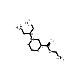 CCOC(=O)C1CCCN(C(CC)CC)C1